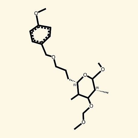 COCOC1C(C)[C@H](CCCOCc2ccc(OC)cc2)OC(OC)[C@@H]1C